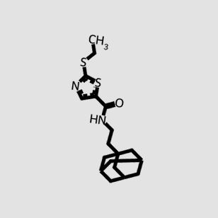 CCSc1ncc(C(=O)NCCC23CC4CC(CC(C4)C2)C3)s1